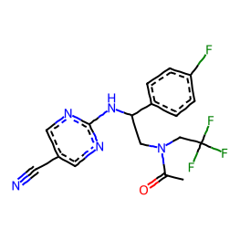 CC(=O)N(CC(Nc1ncc(C#N)cn1)c1ccc(F)cc1)CC(F)(F)F